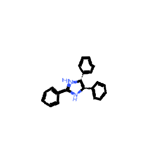 c1ccc(C2N[C@H](c3ccccc3)[C@@H](c3ccccc3)N2)cc1